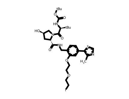 Cc1ncsc1-c1ccc(CNC(=O)[C@@H]2C[C@@H](O)CN2C(=O)[C@@H](NC(=O)OC(C)(C)C)C(C)(C)C)c(OCCOCCI)c1